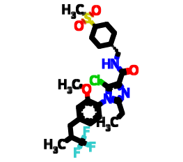 CCc1nc(C(=O)NC[C@H]2CC[C@H](S(C)(=O)=O)CC2)c(Cl)n1-c1ccc(CC(C)C(F)(F)F)cc1OC